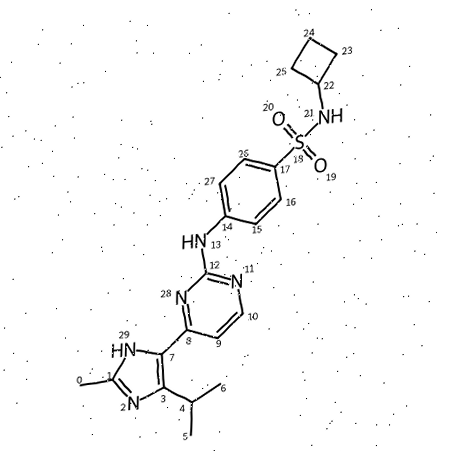 Cc1nc(C(C)C)c(-c2ccnc(Nc3ccc(S(=O)(=O)NC4CCC4)cc3)n2)[nH]1